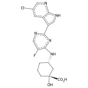 O=C(O)[C@@]1(O)CCC[C@H](Nc2nc(-c3c[nH]c4ncc(Cl)cc34)ncc2F)C1